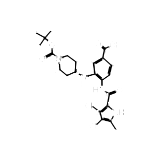 Cc1[nH]c(C(=O)Nc2ccc(C(=O)O)cc2NC2CCN(C(=O)OC(C)(C)C)CC2)c(Cl)c1Cl